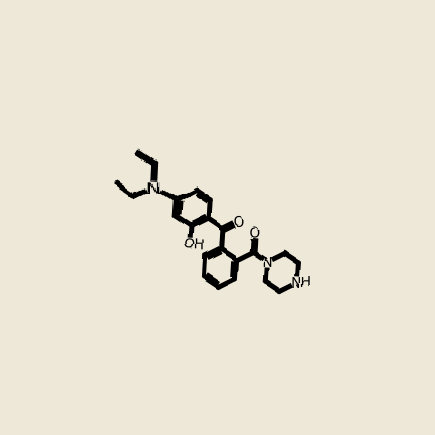 CCN(CC)c1ccc(C(=O)c2ccccc2C(=O)N2CCNCC2)c(O)c1